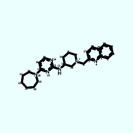 c1ccc2nc(CN3CCCC(Nc4nccc(N5CCCCCC5)n4)C3)ccc2c1